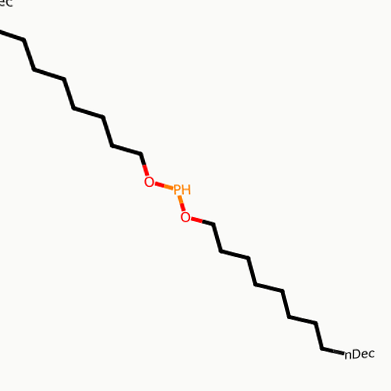 CCCCCCCCCCCCCCCCCCOPOCCCCCCCCCCCCCCCCCC